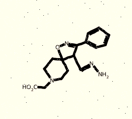 NN=CC1C(c2ccccc2)=NOC12CCN(CC(=O)O)CC2